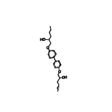 CCCCC(O)COc1ccc(-c2ccc(OCC(O)CCCC)cc2)cc1